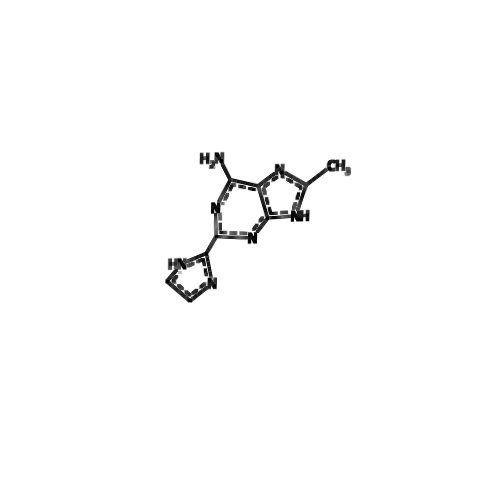 Cc1nc2c(N)nc(-c3ncc[nH]3)nc2[nH]1